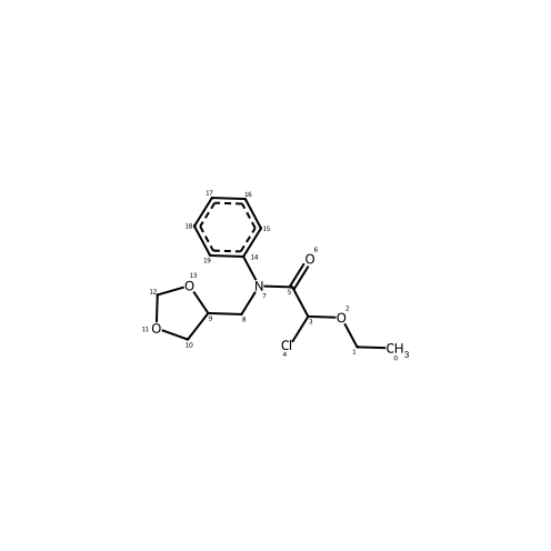 CCOC(Cl)C(=O)N(CC1COCO1)c1ccccc1